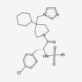 CC(C)S(=O)(=O)N[C@H](Cc1ccc(Cl)cc1)C(=O)N1CCC(Cn2ccnc2)(C2CCCCC2)CC1